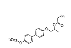 CCCCCCCCOc1ccc(-c2ccc(OCC(C)OC(=O)CC(C)C)cc2)cc1